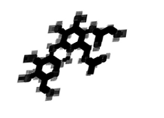 CC(=O)OCC1O[C@@H](O[C@H]2C(O)[C@H](O)C(CO)O[C@H]2C)[C@@H](O)C(O)[C@@H]1OC(=O)CO